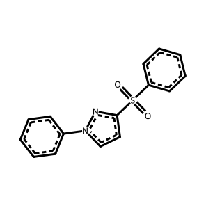 O=S(=O)(c1ccccc1)c1ccn(-c2ccccc2)n1